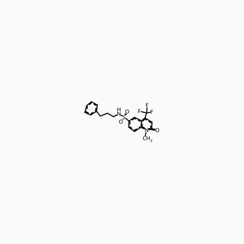 Cn1c(=O)cc(C(F)(F)F)c2cc(S(=O)(=O)NCCCc3ccccc3)ccc21